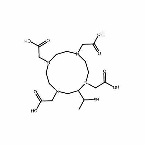 CC(S)C1CN(CC(=O)O)CCN(CC(=O)O)CCN(CC(=O)O)CCN1CC(=O)O